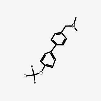 CN(C)Cc1ccc(-c2ccc(OC(F)(F)F)cc2)cc1